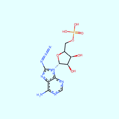 [N-]=[N+]=Nc1nc2c(N)ncnc2n1[C@@H]1OC(COP(=O)(O)O)[C@@H](O)[C@H]1O